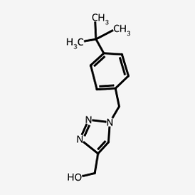 CC(C)(C)c1ccc(Cn2cc(CO)nn2)cc1